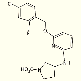 O=C(O)N1CCC(Nc2cccc(OCc3ccc(Cl)cc3F)n2)C1